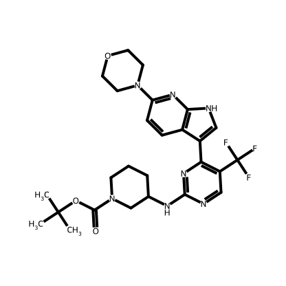 CC(C)(C)OC(=O)N1CCCC(Nc2ncc(C(F)(F)F)c(-c3c[nH]c4nc(N5CCOCC5)ccc34)n2)C1